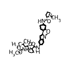 COC(=O)NC(C(=O)N1CCCC1C(=O)Nc1ccc2c(c1)cc1n2COc2cc(NC(=O)[C@@H]3CCCN3C)ccc2-1)C(C)C